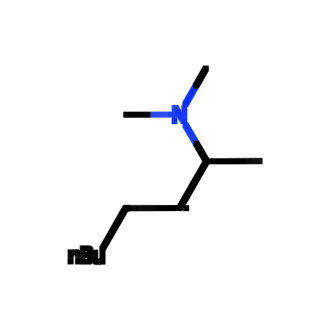 CCCCC[CH]C(C)N(C)C